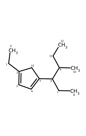 CCC1=CC=C(C(CC)C(C)CC)C1